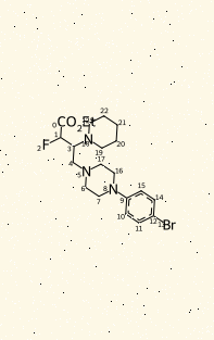 CCOC(=O)C(F)C(CN1CCN(c2ccc(Br)cc2)CC1)N1CCCCC1